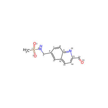 CS(=O)(=O)NCc1ccc2nc(C=O)ccc2c1